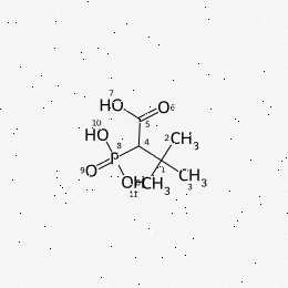 CC(C)(C)C(C(=O)O)P(=O)(O)O